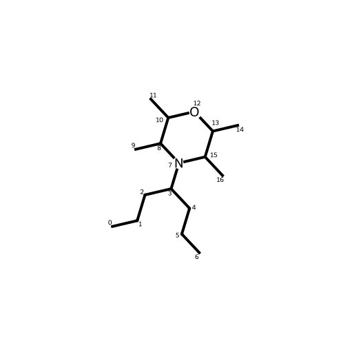 CCCC(CCC)N1C(C)C(C)OC(C)C1C